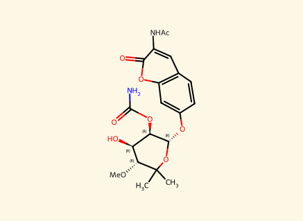 CO[C@@H]1[C@@H](O)[C@@H](OC(N)=O)[C@H](Oc2ccc3cc(NC(C)=O)c(=O)oc3c2)OC1(C)C